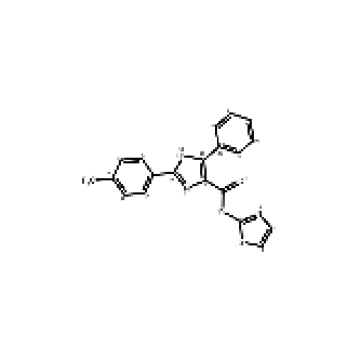 O=C(Nc1nccs1)c1nc(-c2ccc(C(F)(F)F)cc2)[nH]c1-c1ccccc1